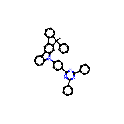 CC1(c2ccccc2)c2ccccc2-c2cc3c4ccccc4n(-c4ccc(-c5nc(-c6ccccc6)nc(-c6ccccc6)n5)cc4)c3cc21